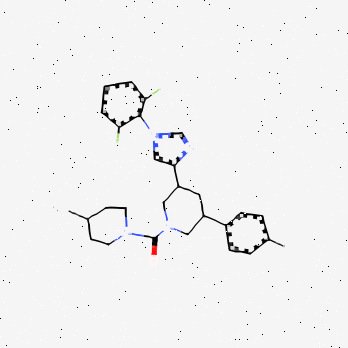 CCc1ccc(C2CC(c3cn(-c4c(F)cccc4F)cn3)CN(C(=O)N3CCC(C#N)CC3)C2)cc1